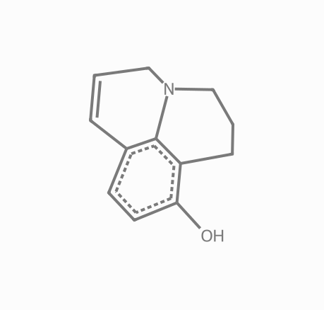 Oc1ccc2c3c1CCCN3CC=C2